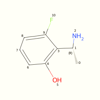 C[C@@H](N)c1c(O)cccc1F